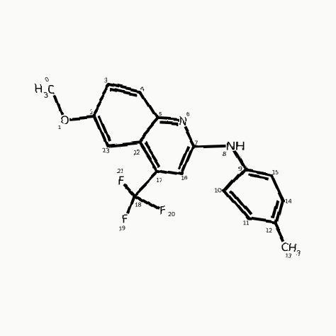 COc1ccc2nc(Nc3ccc(C)cc3)cc(C(F)(F)F)c2c1